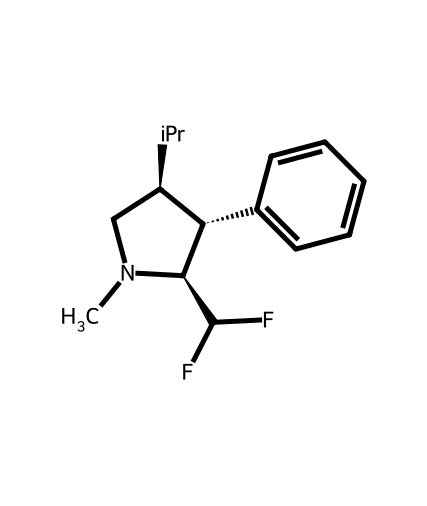 CC(C)[C@@H]1CN(C)[C@H](C(F)F)[C@H]1c1ccccc1